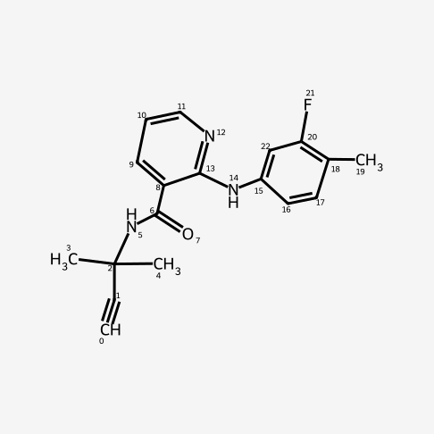 C#CC(C)(C)NC(=O)c1cccnc1Nc1ccc(C)c(F)c1